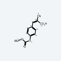 CC(C)(C)OC(=O)Oc1ccc(C=C(C#N)C(=O)O)cc1